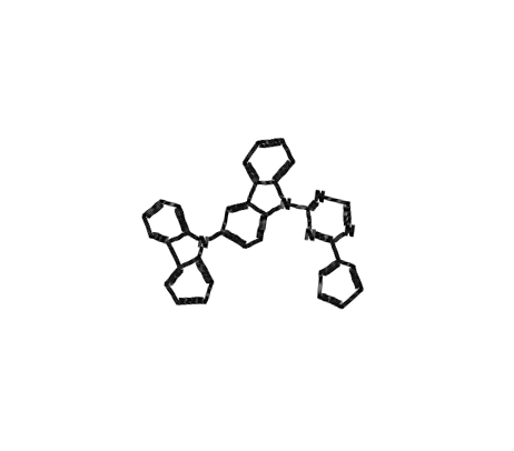 c1ccc(-c2ncnc(-n3c4ccccc4c4cc(-n5c6ccccc6c6ccccc65)ccc43)n2)cc1